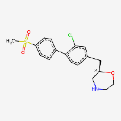 CS(=O)(=O)c1ccc(-c2ccc(C[C@@H]3CNCCO3)cc2Cl)cc1